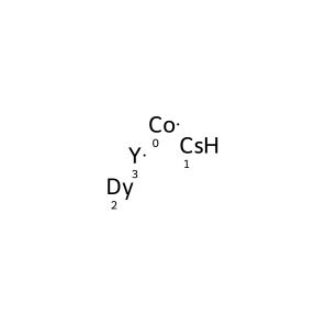 [Co].[CsH].[Dy].[Y]